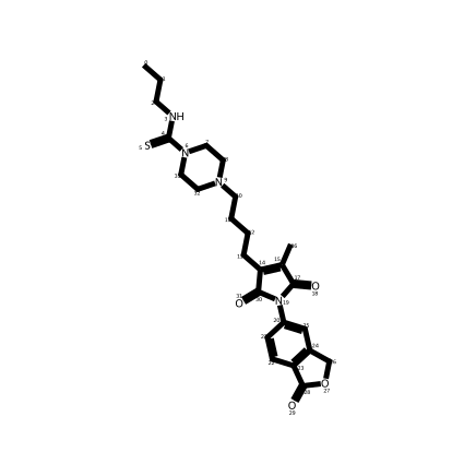 CCCNC(=S)N1CCN(CCCCC2=C(C)C(=O)N(c3ccc4c(c3)COC4=O)C2=O)CC1